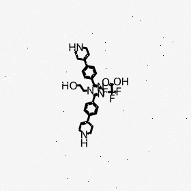 O=C(O)C(F)(F)F.OCCn1c(-c2ccc(C3=CCNCC3)cc2)nnc1-c1ccc(C2=CCNCC2)cc1